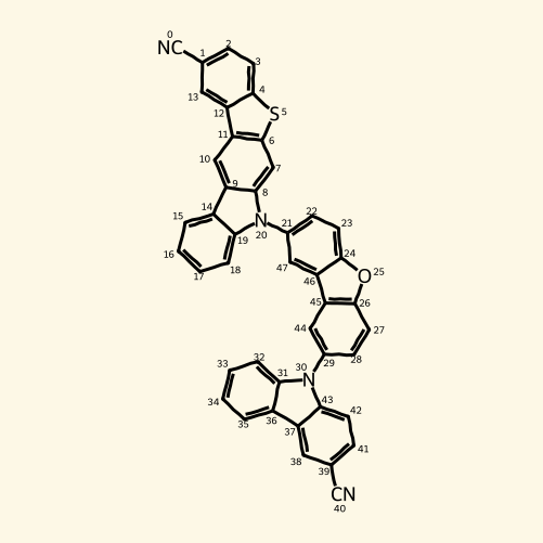 N#Cc1ccc2sc3cc4c(cc3c2c1)c1ccccc1n4-c1ccc2oc3ccc(-n4c5ccccc5c5cc(C#N)ccc54)cc3c2c1